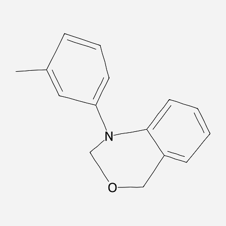 Cc1cccc(N2COCc3ccccc32)c1